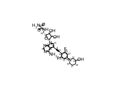 Nc1ncnc2c1c(C#Cc1c(F)cc(N3CCCC(O)C3)cc1F)cn2[C@@H]1O[C@H](CNS(N)(=O)=O)[C@@H](O)[C@H]1O